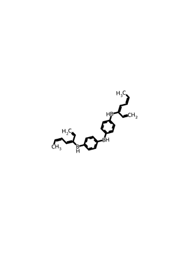 C=C/C(Bc1ccc(Bc2ccc(B/C(C=C)=C/C=C\C)cc2)cc1)=C\C=C/C